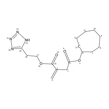 C=C(CC(=O)OC1CCCCCCC1)C(=O)OCCc1nnn[nH]1